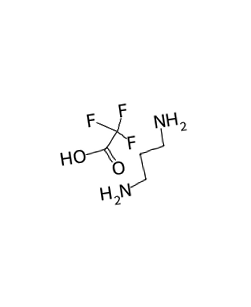 NCCCN.O=C(O)C(F)(F)F